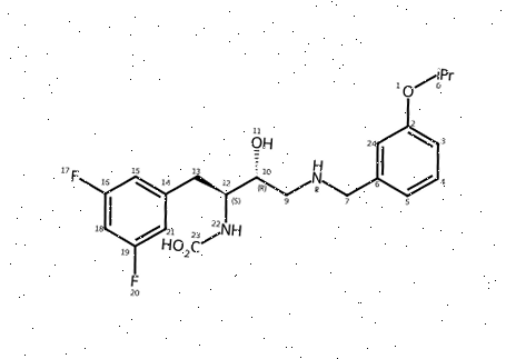 CC(C)Oc1cccc(CNC[C@@H](O)[C@H](Cc2cc(F)cc(F)c2)NC(=O)O)c1